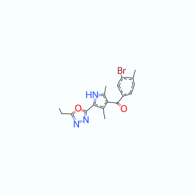 CCc1nnc(-c2[nH]c(C)c(C(=O)c3ccc(C)c(Br)c3)c2C)o1